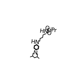 CC1CC(C)CN(c2ccc(NCCCCCNS(=O)(=O)C(C)C)cc2)C1